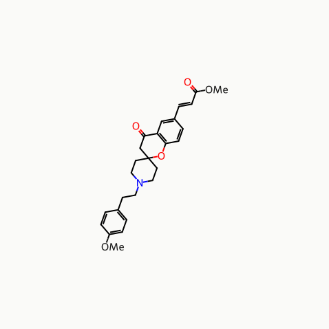 COC(=O)/C=C/c1ccc2c(c1)C(=O)CC1(CCN(CCc3ccc(OC)cc3)CC1)O2